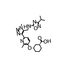 Cc1nc(-c2nnn(C)c2CNc2nc(C(C)C)no2)ccc1O[C@H]1CCC[C@H](C(=O)O)C1